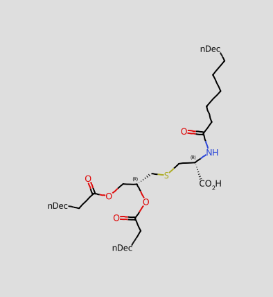 CCCCCCCCCCCCCCCC(=O)N[C@@H](CSC[C@@H](COC(=O)CCCCCCCCCCC)OC(=O)CCCCCCCCCCC)C(=O)O